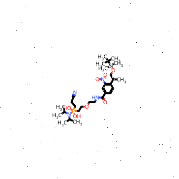 CC(CO[Si](C)(C)C(C)(C)C)c1ccc(C(=O)NCCOCCP(O)(O)(CCC#N)N(C(C)C)C(C)C)cc1[N+](=O)[O-]